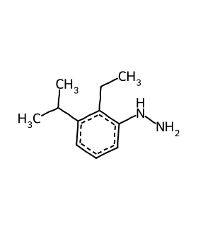 CCc1c(NN)cccc1C(C)C